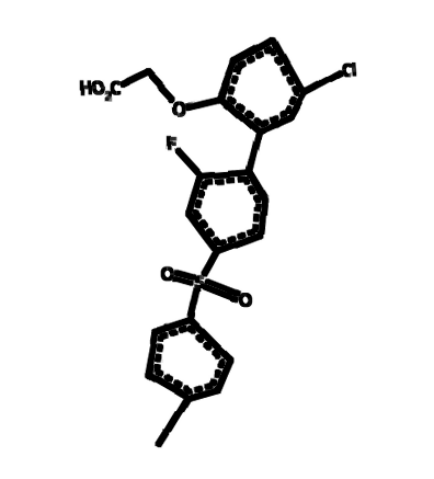 Cc1ccc(S(=O)(=O)c2ccc(-c3cc(Cl)ccc3OCC(=O)O)c(F)c2)cc1